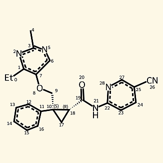 CCc1nc(C)ncc1OC[C@@]1(c2ccccc2)C[C@H]1C(=O)Nc1ccc(C#N)cn1